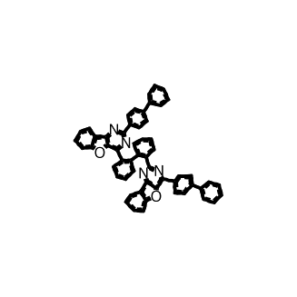 c1ccc(-c2ccc(-c3nc(-c4ccccc4-c4ccccc4-c4nc(-c5ccc(-c6ccccc6)cc5)c5oc6ccccc6c5n4)c4oc5ccccc5c4n3)cc2)cc1